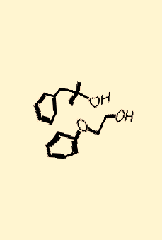 CC(C)(O)Cc1ccccc1.OCCOc1ccccc1